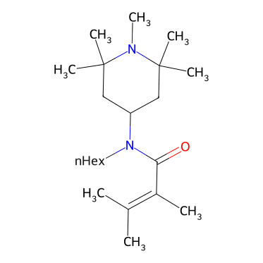 CCCCCCN(C(=O)C(C)=C(C)C)C1CC(C)(C)N(C)C(C)(C)C1